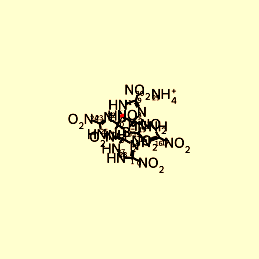 O=[N+]([O-])C1=NC([N+](=O)[O-])([B-](C2([N+](=O)[O-])N=C([N+](=O)[O-])NN2)(C2([N+](=O)[O-])N=C([N+](=O)[O-])NN2)C2([N+](=O)[O-])N=C([N+](=O)[O-])NN2)NN1.[NH4+]